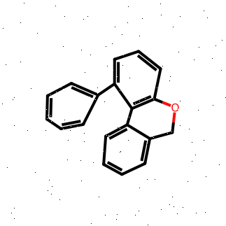 c1ccc(-c2cccc3c2-c2ccccc2CO3)cc1